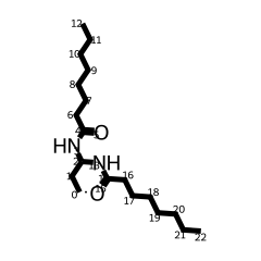 [CH2]CC(NC(=O)CCCCCCC)NC(=O)CCCCCCC